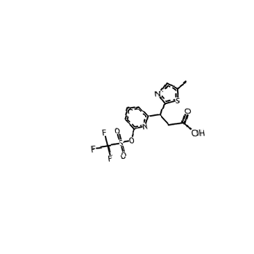 Cc1cnc(C(CC(=O)O)c2cccc(OS(=O)(=O)C(F)(F)F)n2)s1